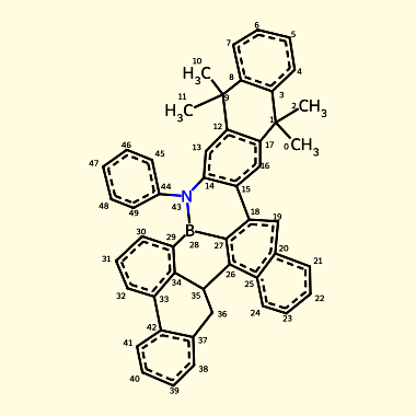 CC1(C)c2ccccc2C(C)(C)c2cc3c(cc21)-c1cc2ccccc2c2c1B(c1cccc4c1C2Cc1ccccc1-4)N3c1ccccc1